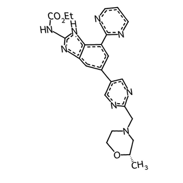 CCOC(=O)Nc1nc2cc(-c3cnc(CN4CCO[C@@H](C)C4)nc3)cc(-c3ncccn3)c2[nH]1